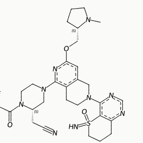 C=C(F)C(=O)N1CCN(c2nc(OC[C@@H]3CCCN3C)cc3c2CCN(c2ncnc4c2S(=N)(=O)CCC4)C3)C[C@@H]1CC#N